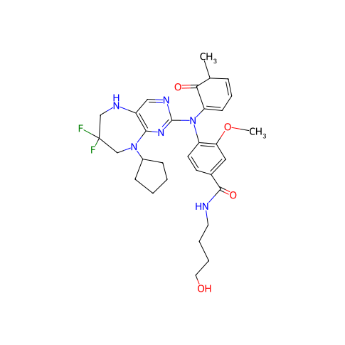 COc1cc(C(=O)NCCCCO)ccc1N(C1=CC=CC(C)C1=O)c1ncc2c(n1)N(C1CCCC1)CC(F)(F)CN2